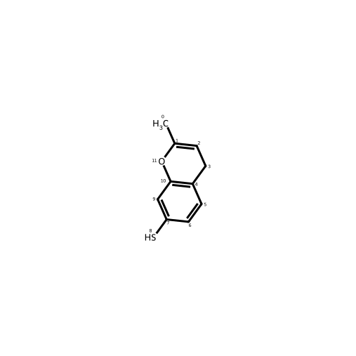 CC1=CCc2ccc(S)cc2O1